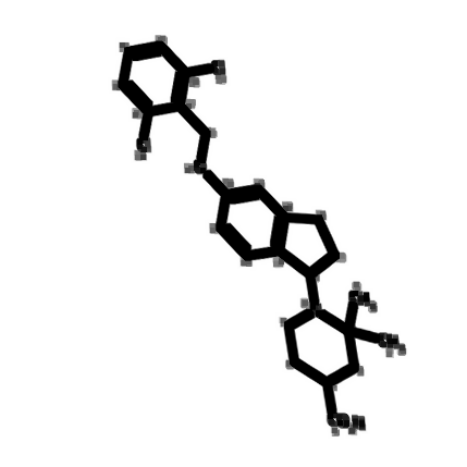 CC1(C)CC(C(=O)O)CCN1C1CCc2cc(OCc3c(Cl)cccc3Cl)ccc21